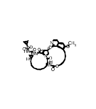 COc1cc2ccnc3c2cc1CCCCCOC(=O)N[C@H]1CCCCCCC[C@@H]2C[C@@]2(C(=O)NS(=O)(=O)C2CC2)NC(=O)[C@@H]2C[C@H](CN2C1=O)O3